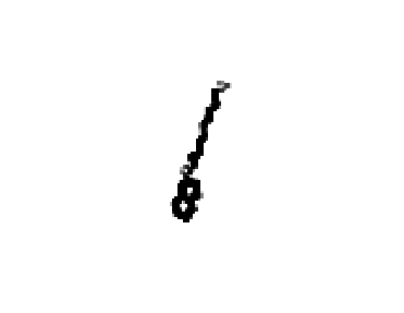 BrCCCCCCCCCCOc1ccc2cc(I)ccc2c1